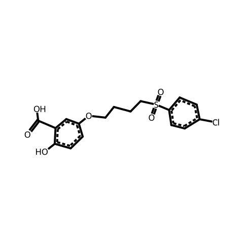 O=C(O)c1cc(OCCCCS(=O)(=O)c2ccc(Cl)cc2)ccc1O